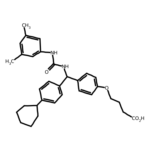 Cc1cc(C)cc(NC(=O)NC(c2ccc(OCCCC(=O)O)cc2)c2ccc(C3CCCCC3)cc2)c1